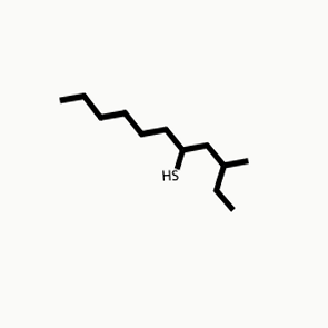 CCCCCCC(S)CC(C)CC